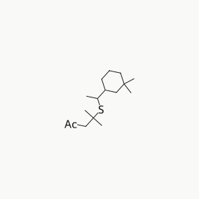 CC(=O)CC(C)(C)SC(C)C1CCCC(C)(C)C1